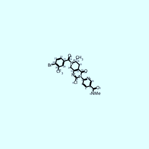 CNC(=O)c1ccc(-n2c(Cl)nc3c(c2=O)C[C@@H](C)N(C(=O)c2ccc(Br)c(C(F)(F)F)c2)C3)nc1